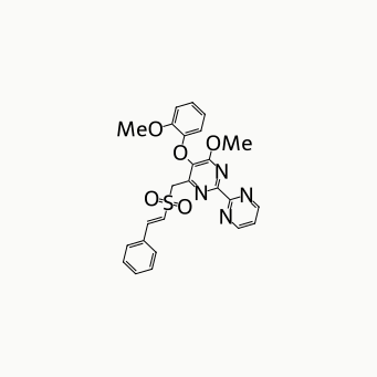 COc1ccccc1Oc1c(CS(=O)(=O)/C=C/c2ccccc2)nc(-c2ncccn2)nc1OC